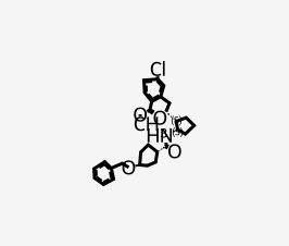 COC(=O)c1ccc(Cl)cc1CC[C@@H]1CCC[C@@H]1NC(=O)[C@H]1CC[C@H](OCc2ccccc2)CC1